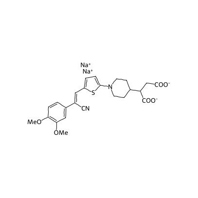 COc1ccc(C(C#N)=Cc2ccc(N3CCC(C(CC(=O)[O-])C(=O)[O-])CC3)s2)cc1OC.[Na+].[Na+]